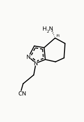 N#CCCn1ncc2c1CCC[C@H]2N